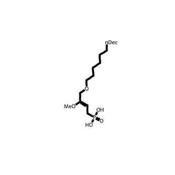 CCCCCCCCCCCCCCCCOCC(=CCP(=O)(O)O)OC